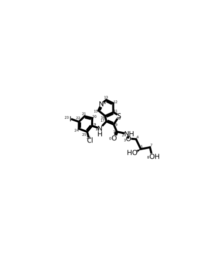 O=C(NOC[C@H](O)CO)c1sc2ccncc2c1Nc1ccc(I)cc1Cl